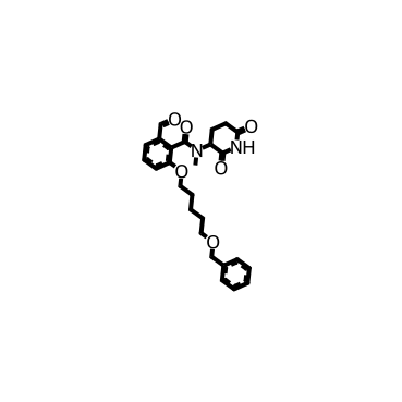 CN(C(=O)c1c(C=O)cccc1OCCCCCOCc1ccccc1)C1CCC(=O)NC1=O